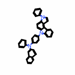 c1ccc(N(c2ccc(-n3c4ccccc4c4c5ccn(-c6ccccc6)c5ccc43)cc2)c2ccc3ccccc3c2)cc1